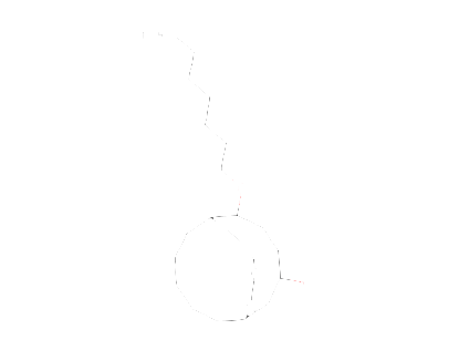 [CH2]CCCCCCCCCCCCCCCOC1CCC([O])CC2CCCCCC1CCCCC2